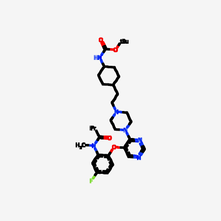 CC(C)C(=O)N(C)c1cc(F)ccc1Oc1cncnc1N1CCN(CCC2CCC(NC(=O)OC(C)(C)C)CC2)CC1